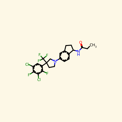 CCC(=O)NC1CCc2cc(N3CCC(c4cc(Cl)c(F)c(Cl)c4F)(C(F)(F)F)C3)ccc21